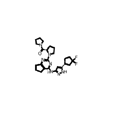 O=C([C@H]1CCCN1c1nc2c(c(Nc3cc([C@H]4CCC(F)(F)C4)[nH]n3)n1)CCC2)N1CCCC1